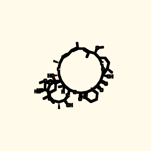 CO[C@@H]1/C(C)=C/C(C)=C\C=C\[C@@H](C)C[C@@H](C)C2([C@@H]3CC[C@@H](O)[C@H](OC)C3)C(O)[C@H](OC)[C@H](O)C(C)C[C@@H](C)C(O)C[C@H](OC(=O)[C@H]3CCCCN3C(=O)C(=O)[C@]3(O)OCC1CC[C@H]3C)[C@@H]2C